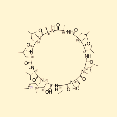 C/C=C/C[C@@H](C)[C@@H](O)[C@H]1C(=O)N[C@@H](CC)C(=O)N(C)[C@H](CO)C(=O)N(C)[C@@H](C(C)CC)C(=O)N[C@@H](C(C)C)C(=O)N(C)[C@@H](CC(C)C)C(=O)N[C@@H](C)C(=O)N[C@H](C)C(=O)N(C)[C@@H](CC(C)C)C(=O)N(C)[C@@H](CC(C)C)C(=O)N(C)[C@@H](C(C)C)C(=O)N1C